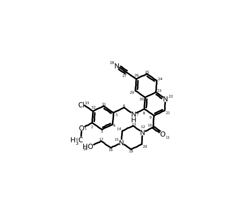 COc1ccc(CNc2c(C(=O)N3CCN(CCO)CC3)cnc3ccc(C#N)cc23)cc1Cl